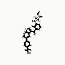 CCN(C)S(=O)(=O)Nc1cccc(C(=O)c2c[nH]c3ncc(-c4ccc(C(C)(C)O)cc4)cc23)c1F